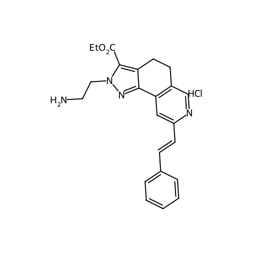 CCOC(=O)c1c2c(nn1CCN)-c1cc(C=Cc3ccccc3)ncc1CC2.Cl